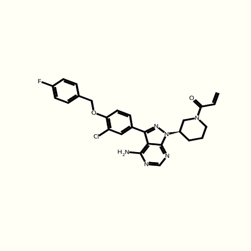 C=CC(=O)N1CCC[C@@H](n2nc(-c3ccc(OCc4ccc(F)cc4)c(Cl)c3)c3c(N)ncnc32)C1